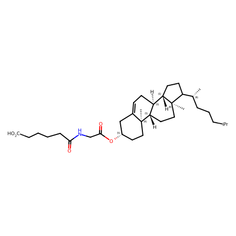 CC(C)CCC[C@@H](C)C1CC[C@H]2[C@@H]3CC=C4C[C@@H](OC(=O)CNC(=O)CCCCC(=O)O)CC[C@]4(C)[C@H]3CC[C@]12C